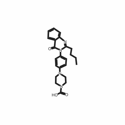 CCCCc1nc2ccccc2c(=O)n1-c1ccc(N2CCN(C(=O)O)CC2)cc1